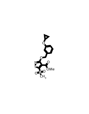 COC(=O)c1c(OCc2cccc(OC3CC3)c2)nsc1S(C)(=O)=O